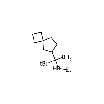 BC(BCC)(C1CCC2(CCC2)C1)C(C)(C)C